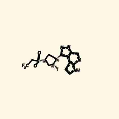 O=S(=O)(CC(F)(F)F)[C@H]1C[C@@H](I)[C@@H](c2nnc3cnc4[nH]ccc4n23)C1